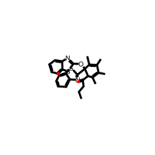 C=C(CCC)C1C(C)=C(C)C(C)=C(C)C1(Oc1nc2ccccc2s1)c1nc2ccccc2s1